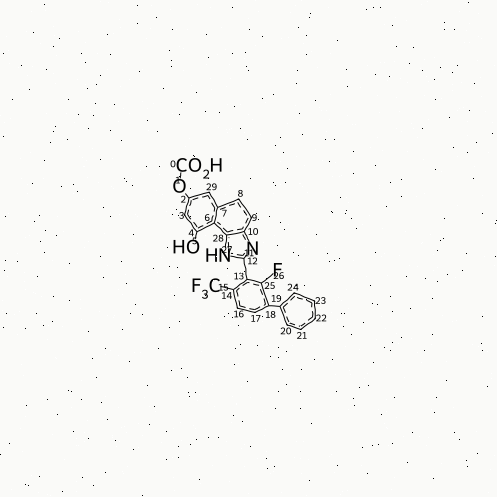 O=C(O)Oc1cc(O)c2c(ccc3nc(-c4c(C(F)(F)F)ccc(-c5ccccc5)c4F)[nH]c32)c1